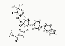 O=C(C1CC1)N1CC(CN2C(=O)C3(CCN(C(=O)C(F)(F)F)CC3)N=C2c2ccc(-c3ccc4occc4c3)cc2)C1